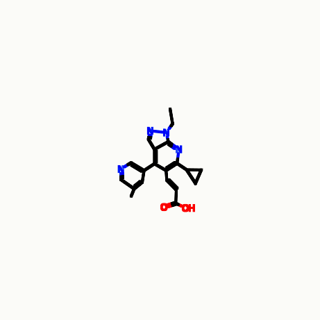 CCn1ncc2c(-c3cncc(C)c3)c(C=CC(=O)O)c(C3CC3)nc21